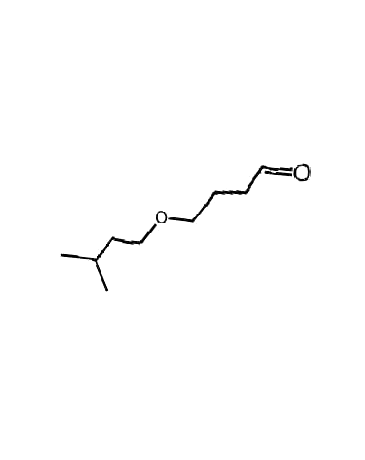 CC(C)CCOCCCC=O